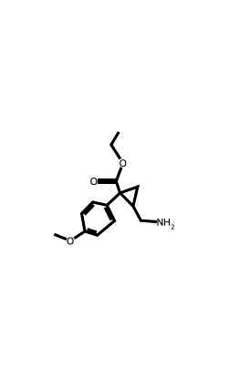 CCOC(=O)C1(c2ccc(OC)cc2)CC1CN